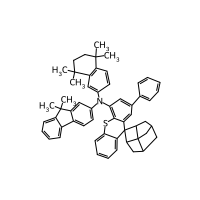 CC1(C)CCC(C)(C)c2cc(N(c3ccc4c(c3)C(C)(C)c3ccccc3-4)c3cc(-c4ccccc4)cc4c3Sc3ccccc3C43C4CC5CC6CC3C64C5)ccc21